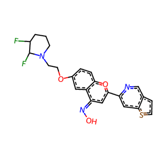 ON=c1cc(-c2cc3sccc3cn2)oc2ccc(OCCN3CCCC(F)C3F)cc12